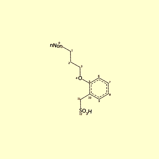 CCCCCCCCCCCCOc1ccccc1CS(=O)(=O)O